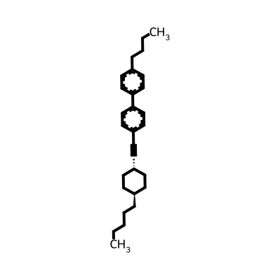 CCCCC[C@H]1CC[C@H](C#Cc2ccc(-c3ccc(CCCC)cc3)cc2)CC1